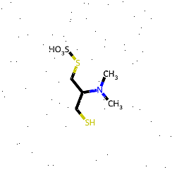 CN(C)C(CS)CSS(=O)(=O)O